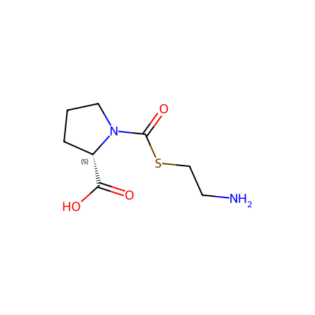 NCCSC(=O)N1CCC[C@H]1C(=O)O